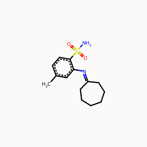 Cc1ccc(S(N)(=O)=O)c(N=C2CCCCCC2)c1